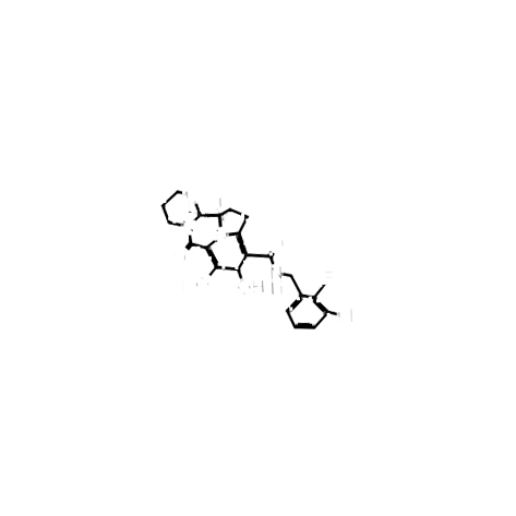 O=C(NCc1cccc(Cl)c1F)C1=C2CC[C@@H]3[C@@H]4OCCCN4C(=O)C(=C(O)C1O)N23